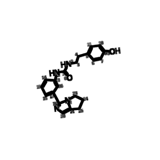 O=C(NCCc1ccc(O)cc1)Nc1cccc(-c2ncc3n2CCC3)c1